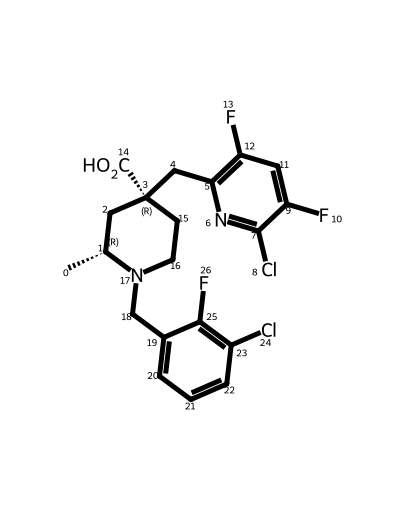 C[C@@H]1C[C@](Cc2nc(Cl)c(F)cc2F)(C(=O)O)CCN1Cc1cccc(Cl)c1F